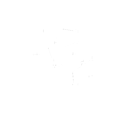 Br.CC[PH](CC(C)C)(CC(C)C)CC(C)C.CC[PH](CC)(CC)C(C)OC